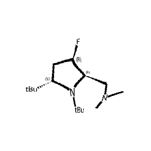 CN(C)C[C@@H]1[C@H](F)C[C@@H](C(C)(C)C)N1C(C)(C)C